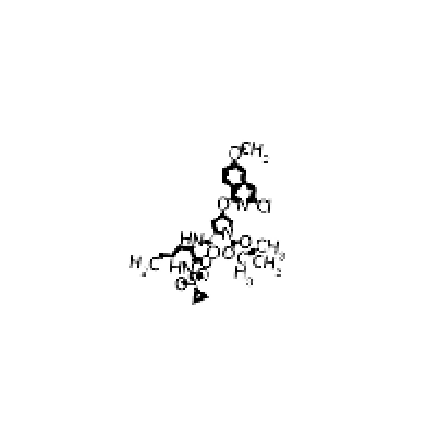 C=CCCC(NC(=O)[C@@H]1C[C@@H](Oc2nc(Cl)cc3cc(OC)ccc23)CN1C(=O)OC(C)(C)C)C(=O)NS(=O)(=O)C1CC1